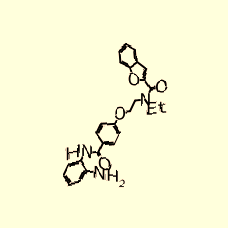 CCN(CCOc1ccc(C(=O)Nc2ccccc2N)cc1)C(=O)c1cc2ccccc2o1